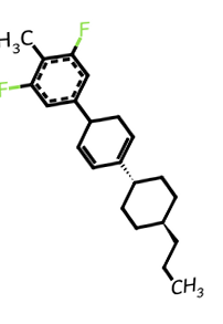 CCC[C@H]1CC[C@H](C2=CCC(c3cc(F)c(C)c(F)c3)C=C2)CC1